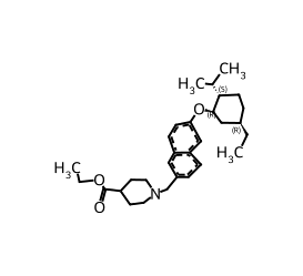 CCOC(=O)C1CCN(Cc2ccc3cc(O[C@@H]4C[C@H](CC)CC[C@H]4C(C)C)ccc3c2)CC1